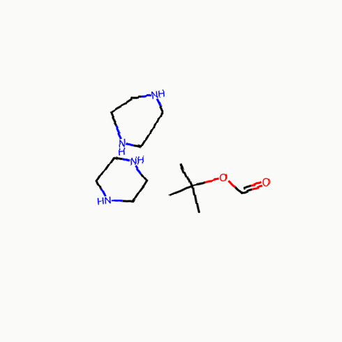 C1CNCCN1.C1CNCCN1.CC(C)(C)OC=O